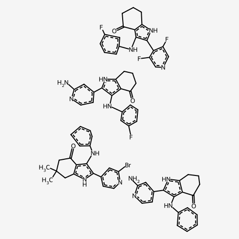 CC1(C)CC(=O)c2c([nH]c(-c3ccnc(Br)c3)c2Nc2ccccc2)C1.Nc1cc(-c2[nH]c3c(c2Nc2cccc(F)c2)C(=O)CCC3)ccn1.Nc1cc(-c2[nH]c3c(c2Nc2ccccc2)C(=O)CCC3)ccn1.O=C1CCCc2[nH]c(-c3c(F)cncc3F)c(Nc3cccc(F)c3)c21